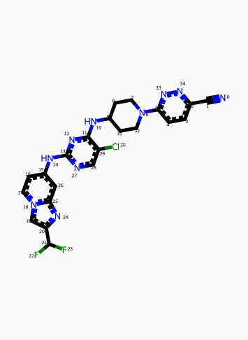 N#Cc1ccc(N2CCC(Nc3nc(Nc4ccn5cc(C(F)F)nc5c4)ncc3Cl)CC2)nn1